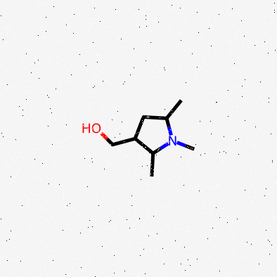 CC1CC(CO)C(C)N1C